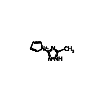 Cc1nc([N+]2C=CC=C2)n[nH]1